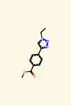 CCn1cc(-c2ccc(C(=O)OC)cc2)nn1